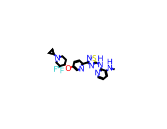 CNc1cccnc1Nc1nc(-c2ccc(OC3CCN(C4CC4)CC3(F)F)cn2)ns1